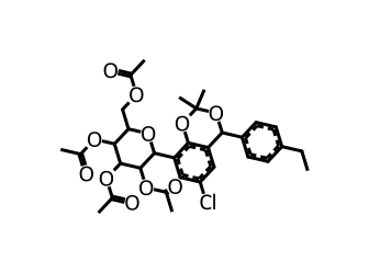 CCc1ccc(C2OC(C)(C)Oc3c2cc(Cl)cc3C2OC(COC(C)=O)C(OC(C)=O)C(OC(C)=O)C2OC(C)=O)cc1